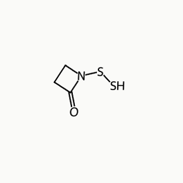 O=C1CCN1SS